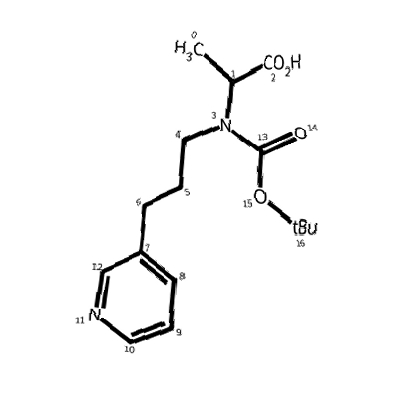 CC(C(=O)O)N(CCCc1cccnc1)C(=O)OC(C)(C)C